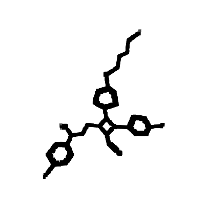 O=CC1C(CCC(O)c2ccc(F)cc2)C(c2ccc(OCCCCI)cc2)N1c1ccc(F)cc1